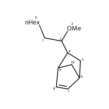 CCCCCCCC(OC)C1CC2C=CC1C2